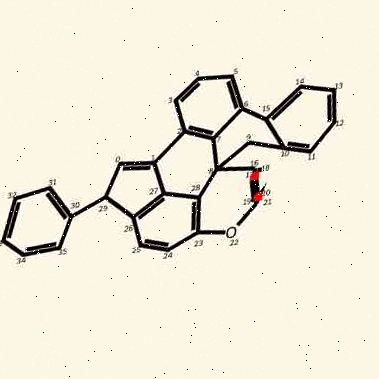 C1=C2c3cccc4c3C3(Cc5ccccc5-4)c4ccccc4Oc4ccc(c2c43)C1c1ccccc1